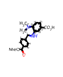 COC(=O)c1ccc(CNc2cc(C(=O)O)ccc2N(C)C)cc1